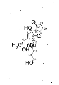 CCCCC(C)(O)CC=CC(O)(C(=O)CCCCCCO)[C@H]1CCCC1=O